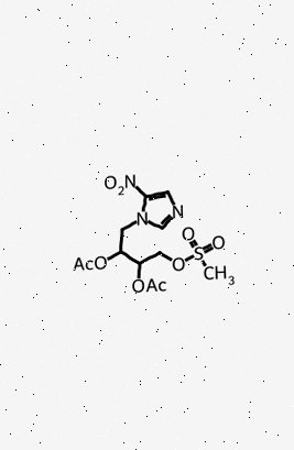 CC(=O)OC(COS(C)(=O)=O)C(Cn1cncc1[N+](=O)[O-])OC(C)=O